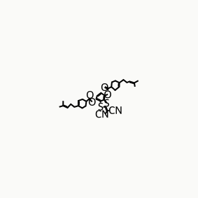 [C-]#[N+]C(C#N)=C1Sc2c(OC(=O)C3CC=C(CCC=C(C)C)CC3)ccc(OC(=O)C3CC=C(CCC=C(C)C)CC3)c2S1